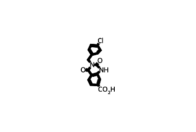 O=C(O)c1ccc2c(=O)n(Cc3ccc(Cl)cc3)c(=O)[nH]c2c1